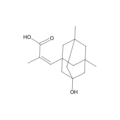 CC(=CC12CC3(C)CC(C)(CC(O)(C3)C1)C2)C(=O)O